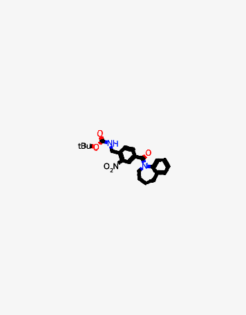 CC(C)(C)OC(=O)NCc1ccc(C(=O)N2CCCCc3ccccc32)cc1[N+](=O)[O-]